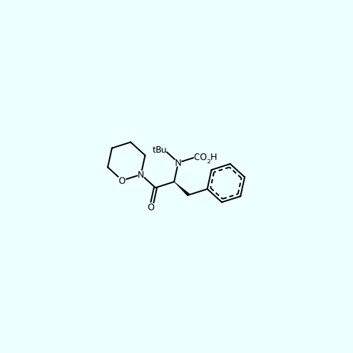 CC(C)(C)N(C(=O)O)[C@@H](Cc1ccccc1)C(=O)N1CCCCO1